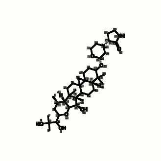 C[C@@H]1CC(C(O)C(C)(C)O)OC2[C@H]1C1(C)CCC34CC35CCC(O[C@H]3CN([C@@H]6CCNC6=O)CCO3)C(C)(C)[C@@H]5CCC4[C@]1(C)[C@H]2O